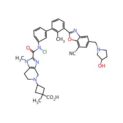 Cc1c(-c2cccc(N(Cl)C(=O)c3nc4c(n3C)CCN(C3CC(C)(C(=O)O)C3)C4)c2)cccc1-c1nc2cc(CN3CCC(O)C3)cc(C#N)c2o1